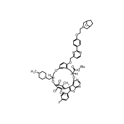 Cc1c(Cl)c2c(Cl)c(C)c1-c1c(-c3ccc(F)cc3)sc3ncnc(c13)O[C@@H](C(=O)OC(C)(C)C)Cc1cc(ccc1OCc1ccnc(-c3ccc(OCCN4CC5CCC(C4)O5)cc3)n1)OC[C@@H](CN1CCN(C)CC1)O2